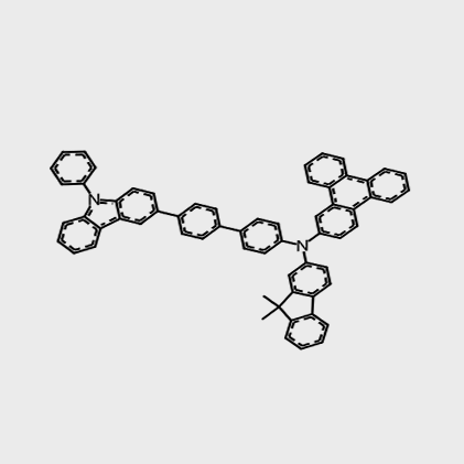 CC1(C)c2ccccc2-c2ccc(N(c3ccc(-c4ccc(-c5ccc6c(c5)c5ccccc5n6-c5ccccc5)cc4)cc3)c3ccc4c5ccccc5c5ccccc5c4c3)cc21